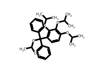 CC(C)Oc1ccc(C(OC(C)C)(c2ccccc2)c2ccccc2)c(OC(C)C)c1OC(C)C